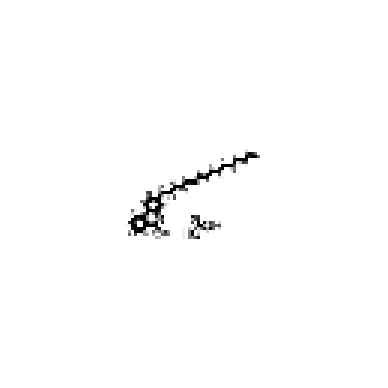 CCCCCCCCCCCCCCCCc1ccc(-c2ccccc2C(=O)OC)cc1.O=C(O)O